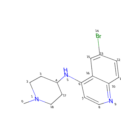 CN1CCC(Nc2[c]cnc3ccc(Br)cc23)CC1